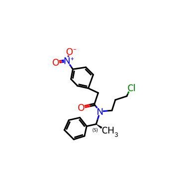 C[C@@H](c1ccccc1)N(CCCCl)C(=O)Cc1ccc([N+](=O)[O-])cc1